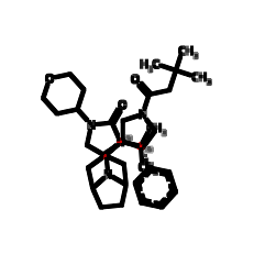 CC(C)N1C(=O)N(C2CCOCC2)CC12CC1CCC(C2)N1C[C@H]1CN(C(=O)CC(C)(C)C)C[C@@H]1c1ccccc1